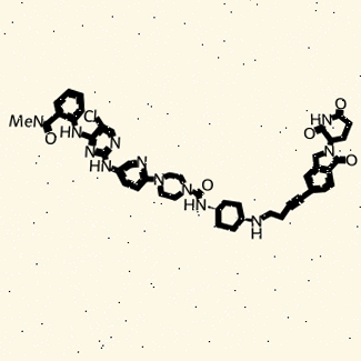 CNC(=O)c1ccccc1Nc1nc(Nc2ccc(N3CCN(C(=O)N[C@H]4CC[C@H](NCCC#Cc5ccc6c(c5)CN(C5CCC(=O)NC5=O)C6=O)CC4)CC3)nc2)ncc1Cl